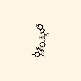 COc1ccc(C)cc1S(=O)(=O)c1ccc(CNC(=O)c2cc3ccncc3s2)cc1